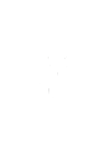 F[C](Cc1ccccc1)C(F)(F)F